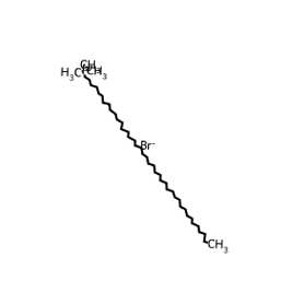 CCCCCCCCCCCCCCCCCCCCCCCCCCCCCCCCCCCCCCCC[P+](C)(C)C.[Br-]